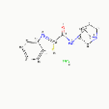 Cl.O=C(NC1CN2CCC1CC2)c1nc2ccccc2s1